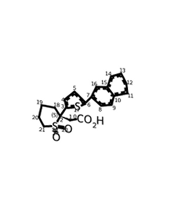 O=C(O)C[C@]1(c2ccc(-c3ccc4ccccc4c3)s2)CCCCS1(=O)=O